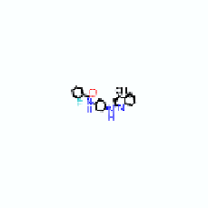 Cc1cc(NC2CCC(NC(=O)c3ccccc3F)CC2)nc2ccccc12